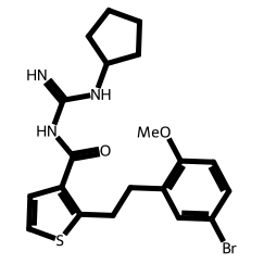 COc1ccc(Br)cc1CCc1sccc1C(=O)NC(=N)NC1CCCC1